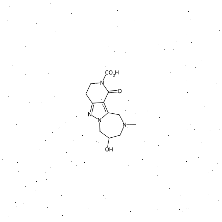 CN1Cc2c3c(nn2CC(O)C1)CCN(C(=O)O)C3=O